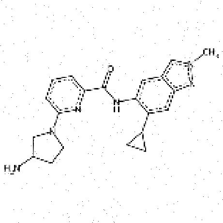 Cn1cc2cc(NC(=O)c3cccc(N4CCC(N)C4)n3)c(C3CC3)cc2n1